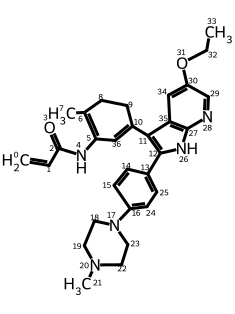 C=CC(=O)NC1=C(C)CCC(c2c(-c3ccc(N4CCN(C)CC4)cc3)[nH]c3ncc(OCC)cc23)=C1